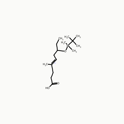 CCC(C/C=C(\C)CCC(=O)O)O[Si](C)(C)C(C)(C)C